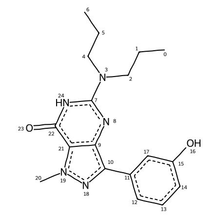 CCCN(CCC)c1nc2c(-c3cccc(O)c3)nn(C)c2c(=O)[nH]1